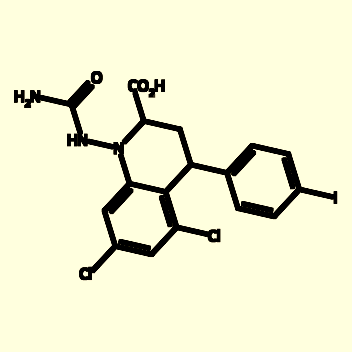 NC(=O)NN1c2cc(Cl)cc(Cl)c2C(c2ccc(I)cc2)CC1C(=O)O